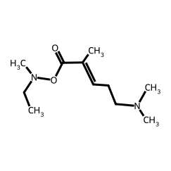 CCN(C)OC(=O)C(C)=CCCN(C)C